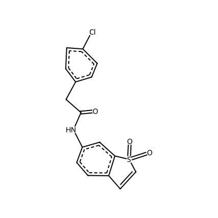 O=C(Cc1ccc(Cl)cc1)Nc1ccc2c(c1)S(=O)(=O)C=C2